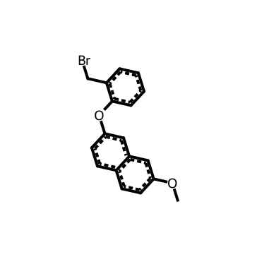 COc1ccc2ccc(Oc3ccccc3CBr)cc2c1